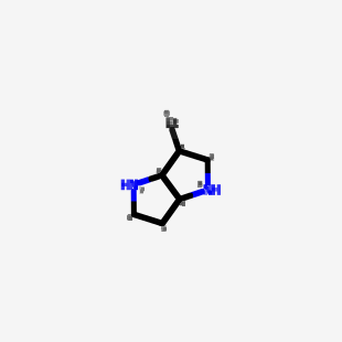 CCC1CNC2CCNC12